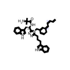 C=C/C=C\C=C1/C=C(Cn2c(CCCc3c[nH]c4ccccc34)nnc2[C@@H](Cc2c[nH]c3ccccc23)NC(=O)C(C)(C)N)C=CC1